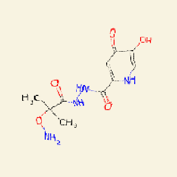 CC(C)(ON)C(=O)NNC(=O)c1cc(=O)c(O)c[nH]1